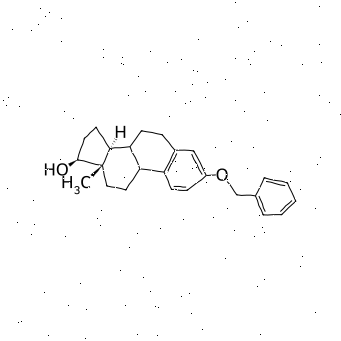 C[C@]12CCC3c4ccc(OCc5ccccc5)cc4CCC3[C@@H]1CC[C@@H]2O